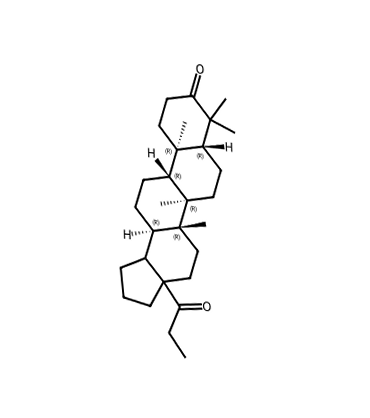 CCC(=O)C12CCCC1[C@H]1CC[C@@H]3[C@@]4(C)CCC(=O)C(C)(C)[C@@H]4CC[C@@]3(C)[C@]1(C)CC2